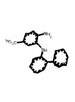 Nc1ccc(C(=O)O)cc1Nc1ccccc1-c1ccccc1